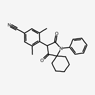 Cc1cc(C#N)cc(C)c1C1C(=O)N(c2ccccc2)C2(CCCCC2)C1=O